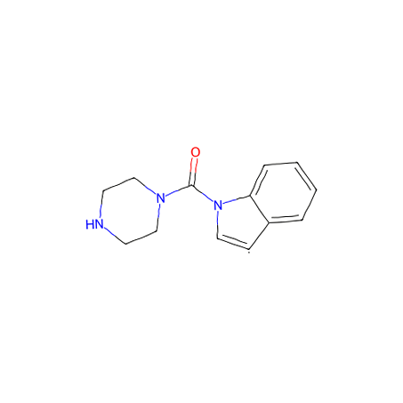 O=C(N1CCNCC1)n1c[c]c2ccccc21